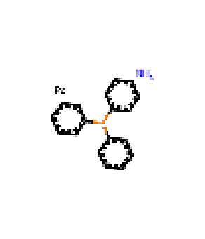 N.[Pd].c1ccc(P(c2ccccc2)c2ccccc2)cc1